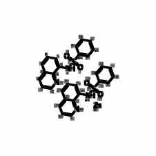 O=S(=O)(Nc1cccc2cccnc12)c1ccccc1.O=S(=O)(Nc1cccc2cccnc12)c1ccccc1.[Zn]